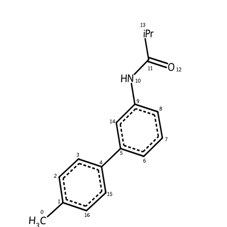 Cc1ccc(-c2cccc(NC(=O)C(C)C)c2)cc1